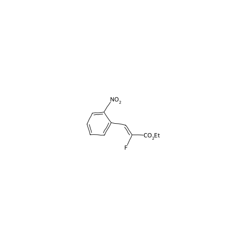 CCOC(=O)/C(F)=C/c1ccccc1[N+](=O)[O-]